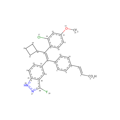 O=C(O)/C=C/c1ccc(/C(=C(\c2ccc(OC(F)(F)F)cc2Cl)C2CCC2)c2ccc3[nH]nc(F)c3c2)cc1